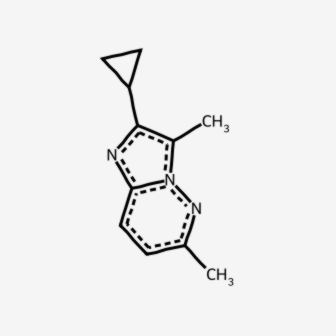 Cc1ccc2nc(C3CC3)c(C)n2n1